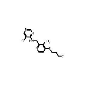 Cc1c(SCCCCl)ccnc1CNc1ncncc1Cl